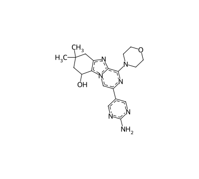 CC1(C)Cc2nc3c(N4CCOCC4)nc(-c4cnc(N)nc4)cn3c2C(O)C1